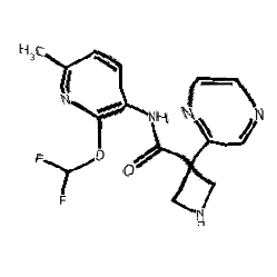 Cc1ccc(NC(=O)C2(c3cnccn3)CNC2)c(OC(F)F)n1